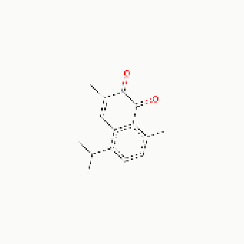 CC1=Cc2c(C(C)C)ccc(C)c2C(=O)C1=O